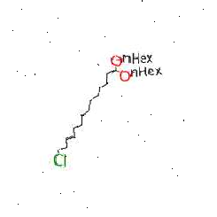 CCCCCCOC(CCCCCCCCC/C=C/CCCl)OCCCCCC